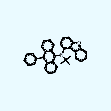 CC(C)(C)N(c1c2ccccc2c(-c2ccccc2)c2ccccc12)c1cccc2oc3ccccc3c12